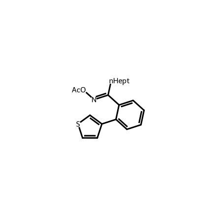 CCCCCCCC(=NOC(C)=O)c1ccccc1-c1ccsc1